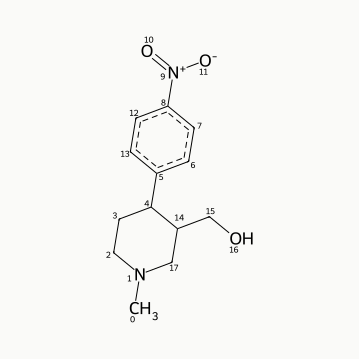 CN1CCC(c2ccc([N+](=O)[O-])cc2)C(CO)C1